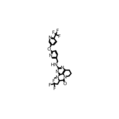 CN1c2nc(NCc3ccc(Oc4ccc(C(F)(F)F)nc4)nc3)nc3c2N(CCC3)C(=O)C1CC(F)(F)F